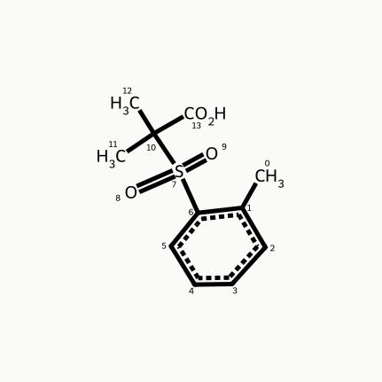 Cc1ccccc1S(=O)(=O)C(C)(C)C(=O)O